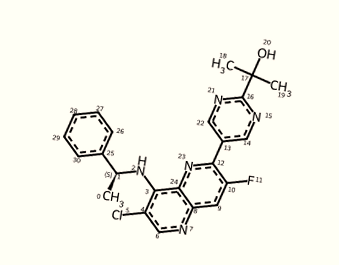 C[C@H](Nc1c(Cl)cnc2cc(F)c(-c3cnc(C(C)(C)O)nc3)nc12)c1ccccc1